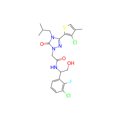 Cc1csc(-c2nn(CC(=O)NC(CO)c3cccc(Cl)c3F)c(=O)n2CC(C)C)c1Cl